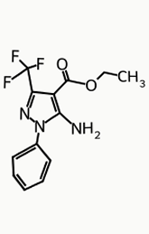 CCOC(=O)c1c(C(F)(F)F)nn(-c2ccccc2)c1N